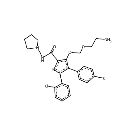 NCCOCOc1c(C(=O)NN2CCCC2)nn(-c2ccccc2Cl)c1-c1ccc(Cl)cc1